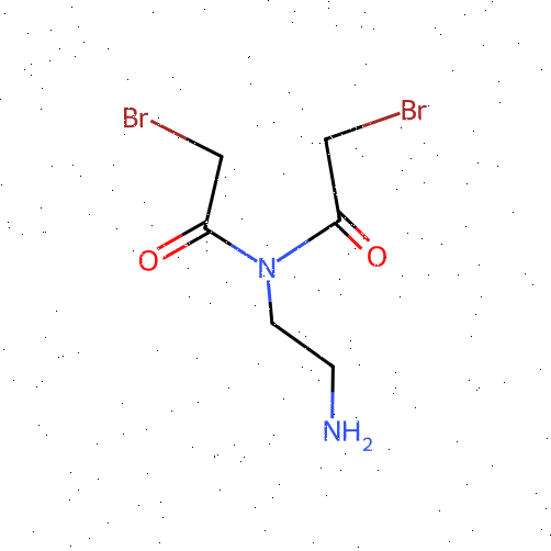 NCCN(C(=O)CBr)C(=O)CBr